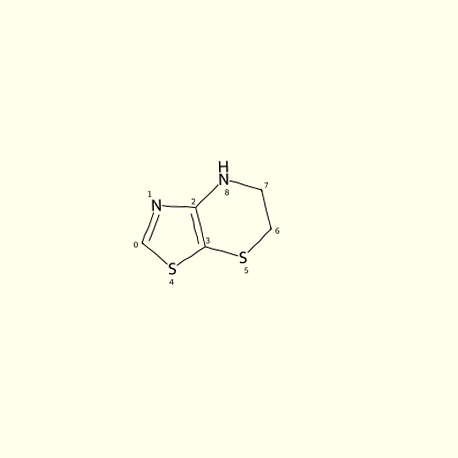 c1nc2c(s1)SCCN2